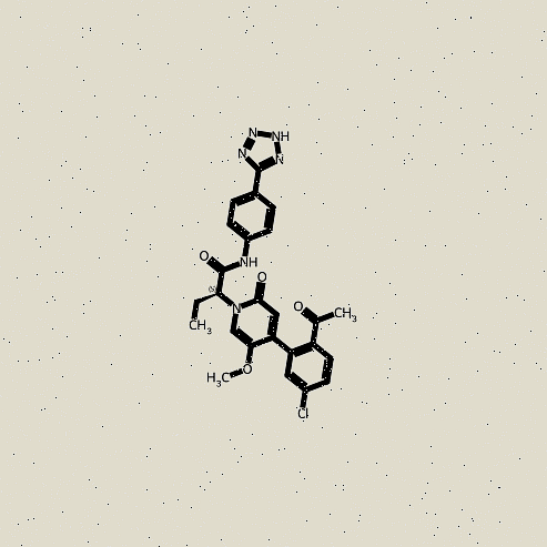 CC[C@@H](C(=O)Nc1ccc(-c2nn[nH]n2)cc1)n1cc(OC)c(-c2cc(Cl)ccc2C(C)=O)cc1=O